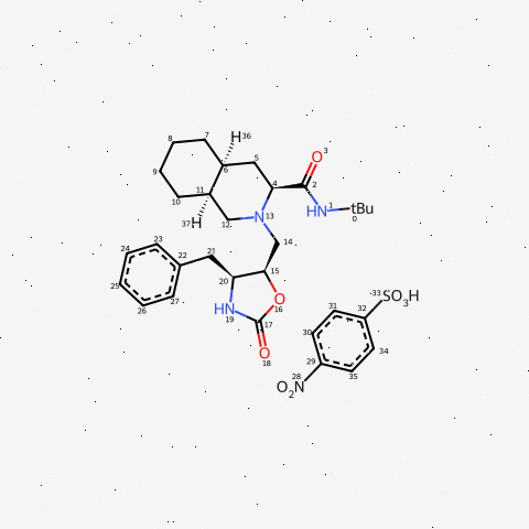 CC(C)(C)NC(=O)[C@@H]1C[C@@H]2CCCC[C@@H]2CN1C[C@H]1OC(=O)N[C@H]1Cc1ccccc1.O=[N+]([O-])c1ccc(S(=O)(=O)O)cc1